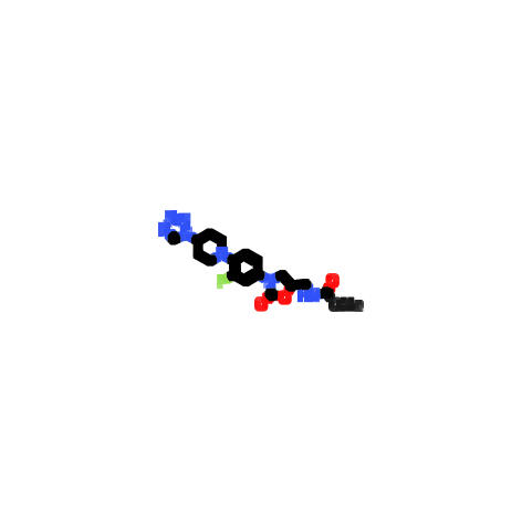 COC(=O)NCC1CN(c2ccc(N3CCC(n4cnnn4)CC3)c(F)c2)C(=O)O1